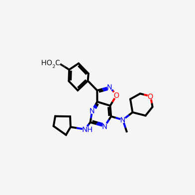 CN(c1nc(NC2CCCC2)nc2c(-c3ccc(C(=O)O)cc3)noc12)C1CCOCC1